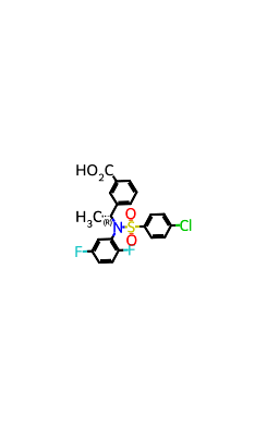 C[C@H](c1cccc(C(=O)O)c1)N(c1cc(F)ccc1F)S(=O)(=O)c1ccc(Cl)cc1